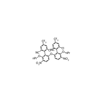 CCCOc1c([N+](=O)[O-])ccc(Oc2ccc([N+](=O)[O-])c(OCCC)c2-c2c(Cl)cc(C(F)(F)F)cc2C#N)c1-c1c(Cl)cc(C(F)(F)F)cc1C#N